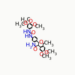 COc1cc(C(C)=O)c(C(Cc2ccc(NC(=O)Nc3cc(OC)c(OC)c(OC)c3)cc2)C(N)=O)cc1OC